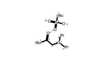 CC(C)[S+](CC(=O)C(C)(C)C)C(C)C.CCCCS(=O)(=O)[O-]